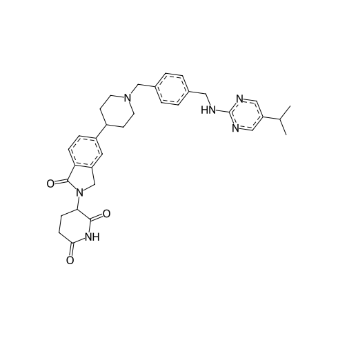 CC(C)c1cnc(NCc2ccc(CN3CCC(c4ccc5c(c4)CN(C4CCC(=O)NC4=O)C5=O)CC3)cc2)nc1